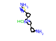 Cl.Nc1cccc(-c2ccn3c(-c4cccc(-c5nnc(N)s5)c4)cnc3c2)c1